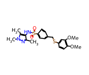 COc1ccc(SCc2ccc(S(=O)(=O)Nc3c(C)nn(C)c3C)cc2)cc1OC